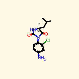 CC(C)C[C@]1(C)NC(=O)N(c2ccc(N)cc2Cl)C1=O